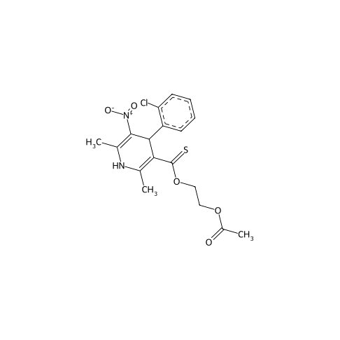 CC(=O)OCCOC(=S)C1=C(C)NC(C)=C([N+](=O)[O-])C1c1ccccc1Cl